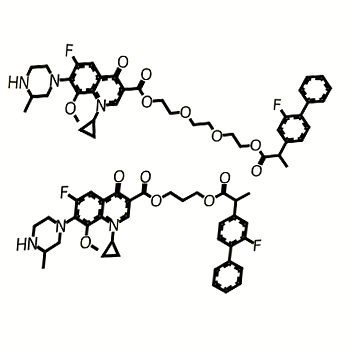 COc1c(N2CCNC(C)C2)c(F)cc2c(=O)c(C(=O)OCCCOC(=O)C(C)c3ccc(-c4ccccc4)c(F)c3)cn(C3CC3)c12.COc1c(N2CCNC(C)C2)c(F)cc2c(=O)c(C(=O)OCCOCCOCCOC(=O)C(C)c3ccc(-c4ccccc4)c(F)c3)cn(C3CC3)c12